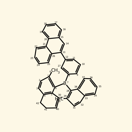 Cc1ccc2c(c1B(c1cccc(-c3cc4ccccc4c4ccccc34)c1)c1c(C)ccc3ccccc13)C=CCC2